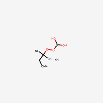 COCC(C#N)(C#N)OOB(O)O.[KH]